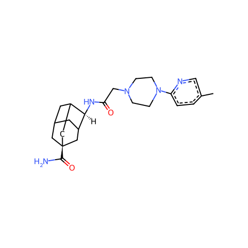 Cc1ccc(N2CCN(CC(=O)N[C@H]3C4CC5CC3C[C@@](C(N)=O)(C5)C4)CC2)nc1